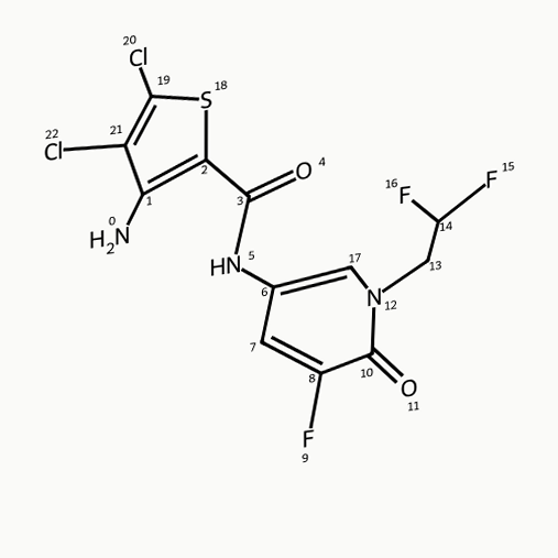 Nc1c(C(=O)Nc2cc(F)c(=O)n(CC(F)F)c2)sc(Cl)c1Cl